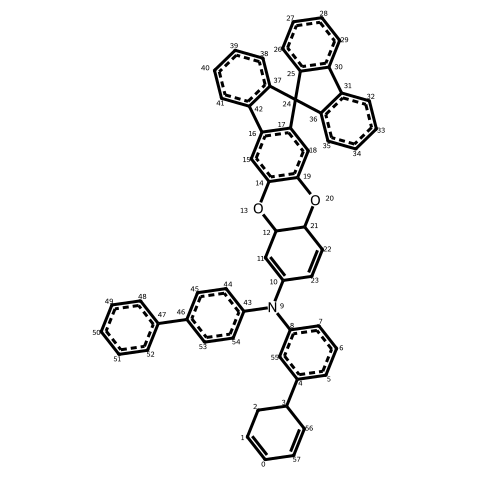 C1=CCC(c2cccc(N(C3=CC4Oc5cc6c(cc5OC4C=C3)C3(c4ccccc4-c4ccccc43)c3ccccc3-6)c3ccc(-c4ccccc4)cc3)c2)C=C1